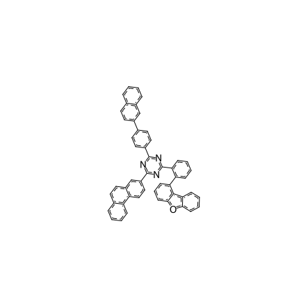 c1ccc(-c2cccc3oc4ccccc4c23)c(-c2nc(-c3ccc(-c4ccc5ccccc5c4)cc3)nc(-c3ccc4c(ccc5ccccc54)c3)n2)c1